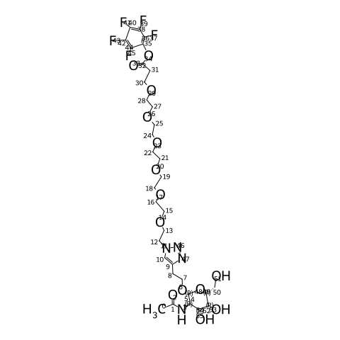 CC(=O)N[C@H]1[C@H](OCCc2cn(CCOCCOCCOCCOCCOCCOCCC(=O)Oc3c(F)c(F)c(F)c(F)c3F)nn2)O[C@H](CO)[C@H](O)[C@@H]1O